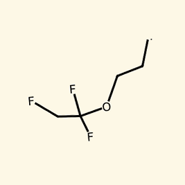 [CH2]CCOC(F)(F)CF